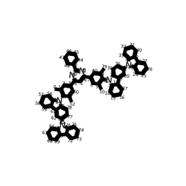 Cc1cc(-c2cc(-c3cc(C)c(-n4c5ccccc5c5cc(-n6c7ccccc7c7ccccc76)ccc54)c(C)c3)nc(-c3ccccc3)n2)cc(C)c1-n1c2ccccc2c2cc(-n3c4ccccc4c4ccccc43)ccc21